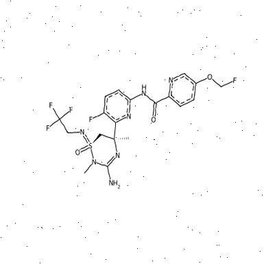 CN1C(N)=N[C@](C)(c2nc(NC(=O)c3ccc(OCF)cn3)ccc2F)C[S@@]1(=O)=NCC(F)(F)F